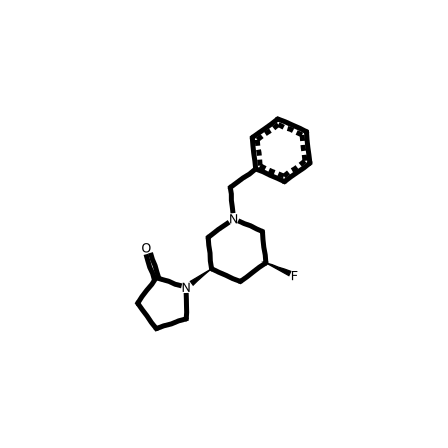 O=C1CCCN1[C@@H]1C[C@H](F)CN(Cc2ccccc2)C1